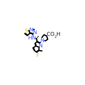 Cc1c(F)ccc2cc([C@H](C)Nc3ncnc4sccc34)c(N3CCC(C(=O)O)CC3)nc12